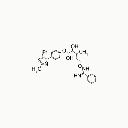 Cc1nc(-c2ccc(OC(O)C(O)C(C)CCONC(=N)c3ccccc3)cc2)c(C(C)C)s1